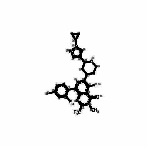 Cn1c(C(F)(F)F)nc2c(-c3ccc(F)cc3F)nc(C3CCOC(c4cnn(C5CC5)c4)C3)c(F)c2c1=O